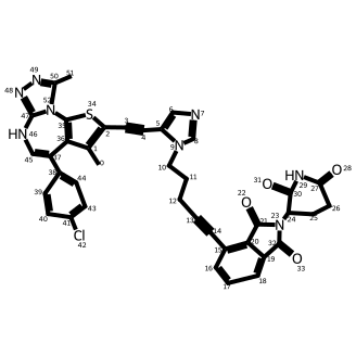 Cc1c(C#Cc2cncn2CCCC#Cc2cccc3c2C(=O)N(C2CCC(=O)NC2=O)C3=O)sc2c1C(c1ccc(Cl)cc1)=CNc1nnc(C)n1-2